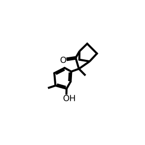 Cc1ccc(C2(C)C(=O)C3CCC2C3)cc1O